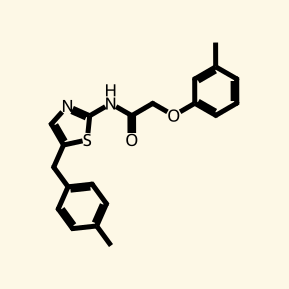 Cc1ccc(Cc2cnc(NC(=O)COc3cccc(C)c3)s2)cc1